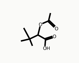 CC(=O)OC(C(=O)O)C(C)(C)C